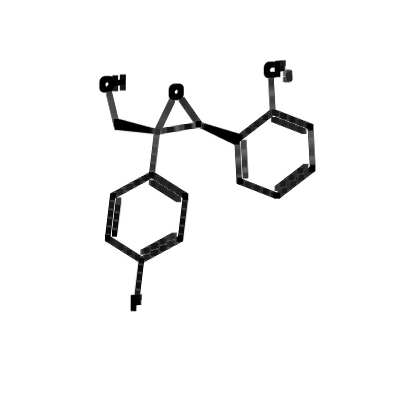 OC[C@@]1(c2ccc(F)cc2)O[C@H]1c1ccccc1C(F)(F)F